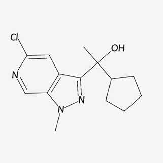 Cn1nc(C(C)(O)C2CCCC2)c2cc(Cl)ncc21